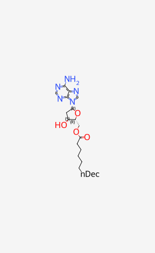 CCCCCCCCCCCCCCCC(=O)OC[C@H]1O[C@@H](n2cnc3c(N)ncnc32)C[C@@H]1O